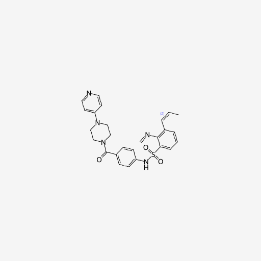 C=Nc1c(/C=C\C)cccc1S(=O)(=O)Nc1ccc(C(=O)N2CCN(c3ccncc3)CC2)cc1